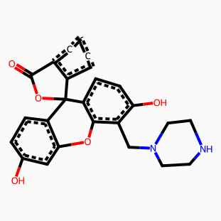 O=C1OC2(c3ccc(O)cc3Oc3c2ccc(O)c3CN2CCNCC2)c2ccccc21